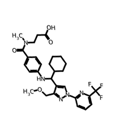 COCc1nn(-c2cccc(C(F)(F)F)n2)cc1C(Nc1ccc(C(=O)N(C)CCC(=O)O)cc1)C1CCCCC1